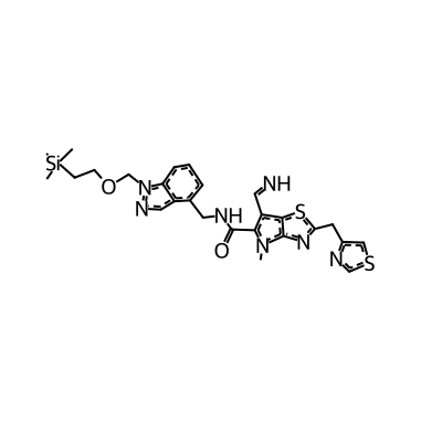 Cn1c(C(=O)NCc2cccc3c2cnn3COCC[Si](C)(C)C)c(C=N)c2sc(Cc3cscn3)nc21